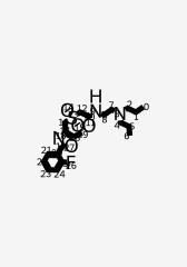 CCCN(CCC)CCNC(=O)CS(=O)(=O)Cc1nc(-c2ccccc2F)oc1C